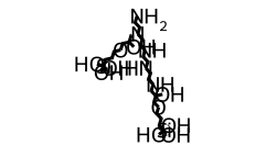 NCCN(CCNCCNCCNCC(O)COCCC[Si](O)(O)O)CC(O)COCCC[Si](O)(O)O